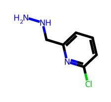 NNCc1cccc(Cl)n1